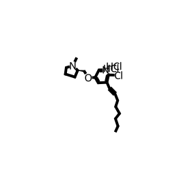 CCCCCCC#Cc1cc(OC[C@H]2CCCN2C)cnc1Cl.Cl.Cl